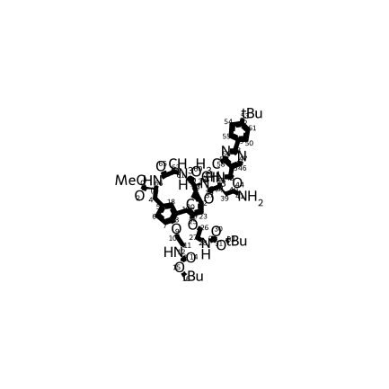 COC(=O)[C@@H]1Cc2ccc(OCCNC(=O)OC(C)(C)C)c(c2)-c2cc(ccc2OCCNC(=O)OC(C)(C)C)[C@H](N(C)C(=O)[C@H](CCN)NC(=O)c2cnc(-c3ccc(C(C)(C)C)cc3)nc2C)C(=O)N[C@@H](C)C(=O)N1